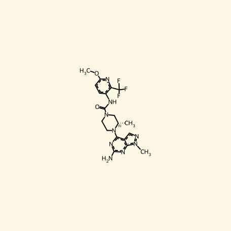 COc1ccc(NC(=O)N2CCN(c3nc(N)nc4c3cnn4C)[C@@H](C)C2)c(C(F)(F)F)n1